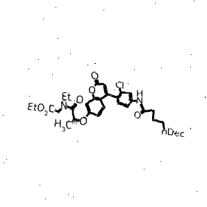 CCCCCCCCCCCCCC(=O)Nc1ccc(-c2cc(=O)oc3cc(O[C@H](C)C(=O)N(CC)CC(=O)OCC)ccc23)c(Cl)c1